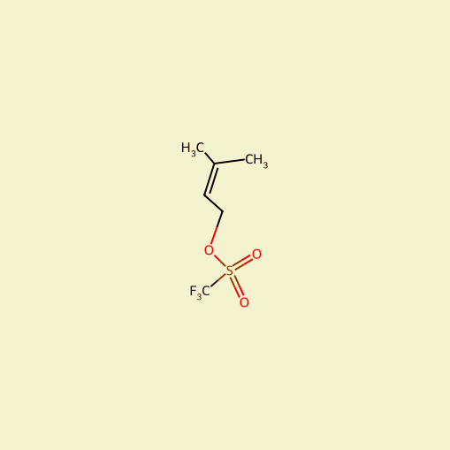 CC(C)=CCOS(=O)(=O)C(F)(F)F